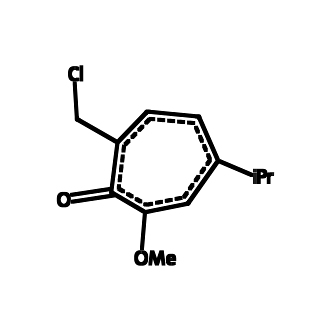 COc1cc(C(C)C)ccc(CCl)c1=O